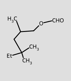 CCC(C)(C)CC(C)COC=O